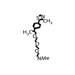 CNCCOCCOCCOCC(C)c1ccc(-c2scnc2C)cc1